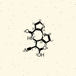 N#CC(C(=O)O)C1NC(=O)c2ccsc2-n2cccc21